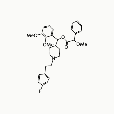 COc1cccc(C(OC(=O)C(OC)c2ccccc2)C2CCN(CCc3ccc(F)cc3)CC2)c1OC